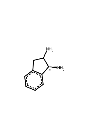 NC1Cc2ccccc2[C@@H]1N